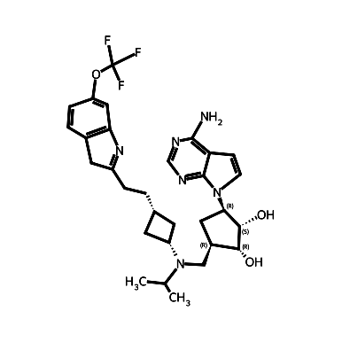 CC(C)N(C[C@H]1C[C@@H](n2ccc3c(N)ncnc32)[C@H](O)[C@@H]1O)[C@H]1C[C@@H](CCC2=Nc3cc(OC(F)(F)F)ccc3C2)C1